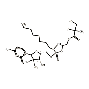 CCCCCCCCN(C)P(=O)(OCCSC(=O)C(C)(C)CO)OC[C@H]1OC(n2ccc(N)nc2=O)C(C)(O)[C@H]1O